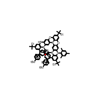 CCC(C)(C)c1cc2c3c(c1)Oc1cc4c(cc1B3c1cc3c(cc1O2)Nc1cc(C(C)(C)CC)cc2c1B3c1sc3ccc(C(C)(C)CC)cc3c1N2c1ccc(C(C)(C)C)cc1)B1c2sc3ccc(C(C)(C)CC)cc3c2N(c2ccc(C(C)(C)C)cc2)c2cc(C(C)(C)CC)cc(c21)N4c1c(C)cc(C)cc1C